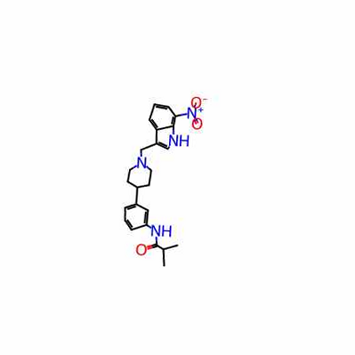 CC(C)C(=O)Nc1cccc(C2CCN(Cc3c[nH]c4c([N+](=O)[O-])cccc34)CC2)c1